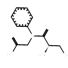 N[C@H](CS)C(=O)N(CC(=O)O)c1ccccc1